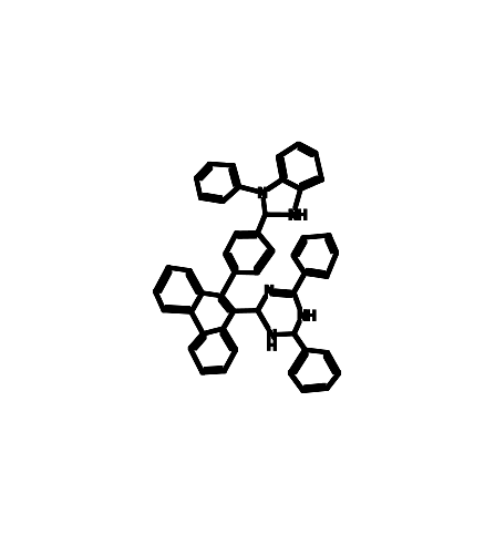 c1ccc(C2=NC(c3c(-c4ccc(C5Nc6ccccc6N5c5ccccc5)cc4)c4ccccc4c4ccccc34)NC(c3ccccc3)N2)cc1